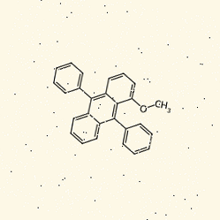 COc1cccc2c(-c3ccccc3)c3ccccc3c(-c3ccccc3)c12